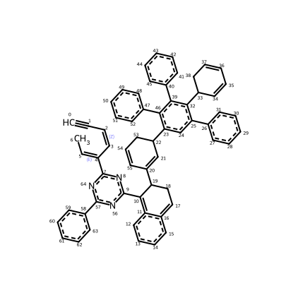 C#C/C=C\C(=C/C)c1nc(C2=c3ccccc3=CCC2C2=CC(c3cc(-c4ccccc4)c(C4C=CC=CC4)c(-c4ccccc4)c3-c3ccccc3)CC=C2)nc(-c2ccccc2)n1